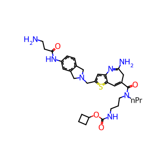 CCCN(CCCNC(=O)OC1CCC1)C(=O)C1=Cc2sc(CN3Cc4ccc(NC(=O)CCN)cc4C3)cc2N=C(N)C1